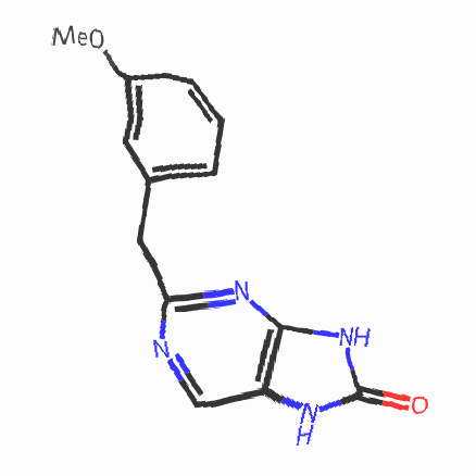 COc1cccc(Cc2ncc3[nH]c(=O)[nH]c3n2)c1